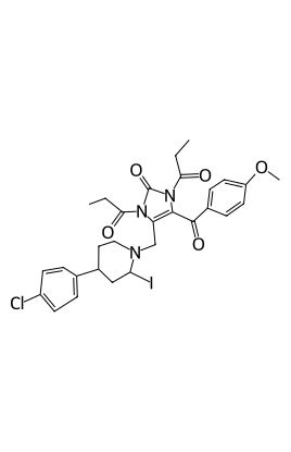 CCC(=O)n1c(CN2CCC(c3ccc(Cl)cc3)CC2I)c(C(=O)c2ccc(OC)cc2)n(C(=O)CC)c1=O